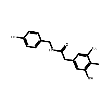 Cc1c(C(C)(C)C)cc(CC(=O)NCc2ccc(O)cc2)cc1C(C)(C)C